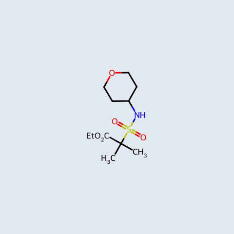 CCOC(=O)C(C)(C)S(=O)(=O)NC1CCOCC1